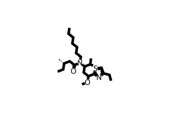 CCCCCCCN(C(=O)C[C@@H](C)CC)C(CC(OC)c1nc(CC)cs1)C(C)C